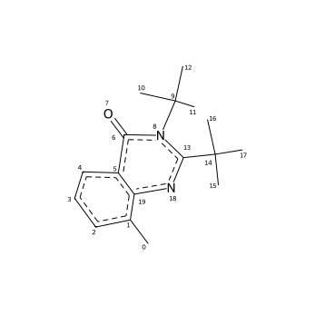 Cc1cccc2c(=O)n(C(C)(C)C)c(C(C)(C)C)nc12